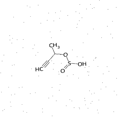 C#CC(C)OS(=O)O